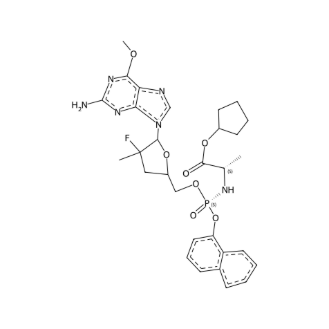 COc1nc(N)nc2c1ncn2C1OC(CO[P@@](=O)(N[C@@H](C)C(=O)OC2CCCC2)Oc2cccc3ccccc23)CC1(C)F